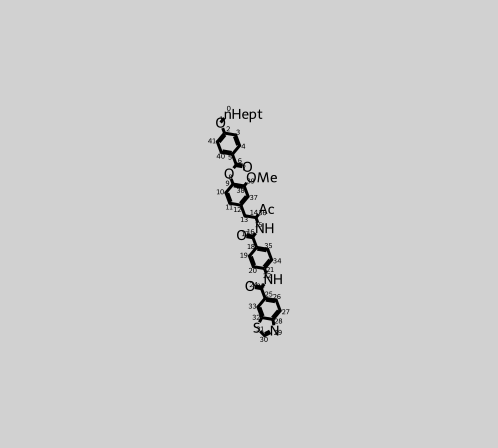 CCCCCCCOc1ccc(C(=O)Oc2ccc(CC(NC(=O)c3ccc(NC(=O)c4ccc5ncsc5c4)cc3)C(C)=O)cc2OC)cc1